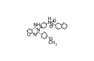 COc1ccc(C2=Nc3occc3C(N)N2c2ccc(NS(=O)(=O)c3ccc4ccccc4c3)cc2)cc1